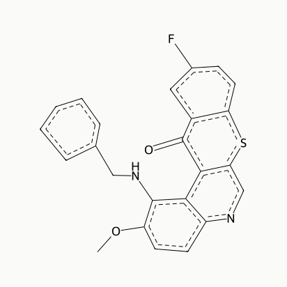 COc1ccc2ncc3sc4ccc(F)cc4c(=O)c3c2c1NCc1ccccc1